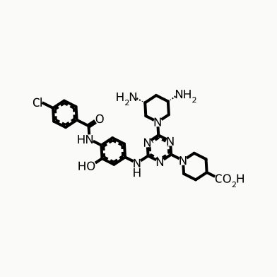 N[C@@H]1C[C@H](N)CN(c2nc(Nc3ccc(NC(=O)c4ccc(Cl)cc4)c(O)c3)nc(N3CCC(C(=O)O)CC3)n2)C1